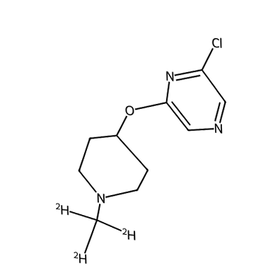 [2H]C([2H])([2H])N1CCC(Oc2cncc(Cl)n2)CC1